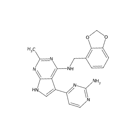 Cc1nc(NCc2cccc3c2OCO3)c2c(-c3ccnc(N)n3)c[nH]c2n1